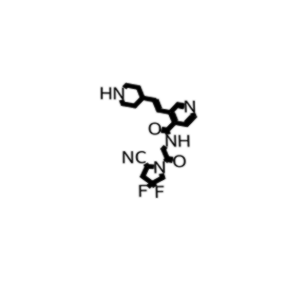 N#CC1CC(F)(F)CN1C(=O)CNC(=O)c1ccncc1/C=C/C1CCNCC1